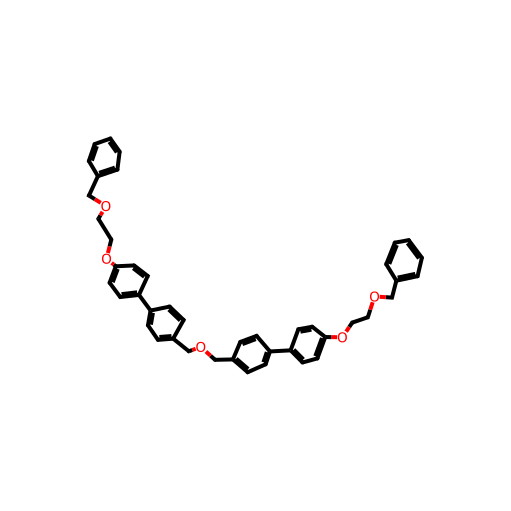 c1ccc(COCCOc2ccc(-c3ccc(COCc4ccc(-c5ccc(OCCOCc6ccccc6)cc5)cc4)cc3)cc2)cc1